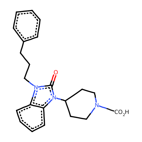 O=C(O)N1CCC(n2c(=O)n(CCCc3ccccc3)c3ccccc32)CC1